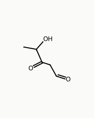 C[C](O)C(=O)CC=O